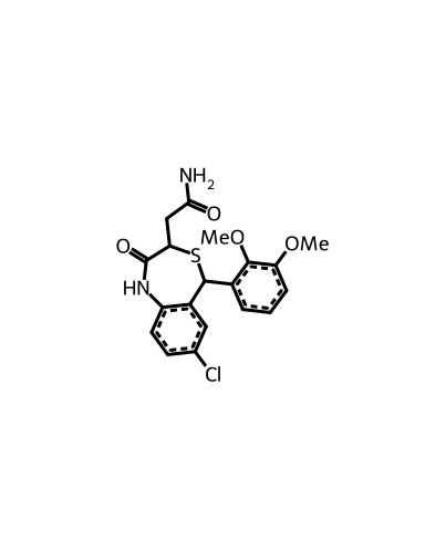 COc1cccc(C2SC(CC(N)=O)C(=O)Nc3ccc(Cl)cc32)c1OC